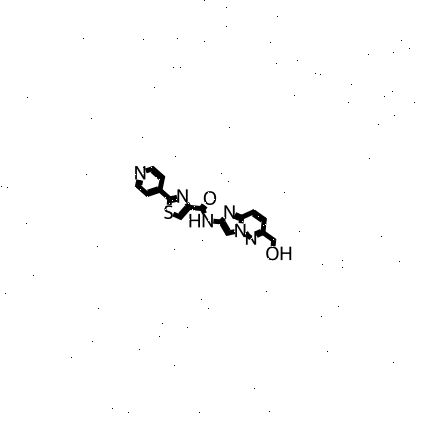 O=C(Nc1cn2nc(CO)ccc2n1)c1csc(-c2ccncc2)n1